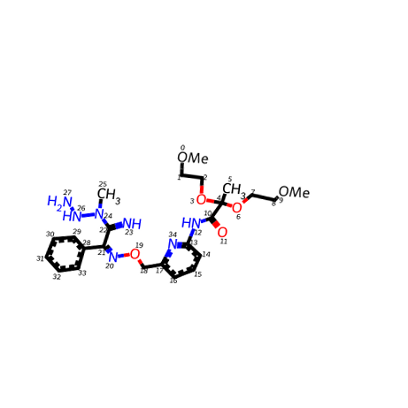 COCCOC(C)(OCCOC)C(=O)Nc1cccc(CO/N=C(\C(=N)N(C)NN)c2ccccc2)n1